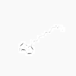 NCCCCCCOc1cccc2nccn12